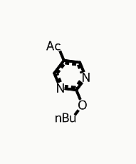 CCCCOc1ncc(C(C)=O)cn1